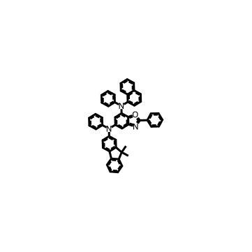 CC1(C)c2ccccc2-c2ccc(N(c3ccccc3)c3cc(N(c4ccccc4)c4cccc5ccccc45)c4oc(-c5ccccc5)nc4c3)cc21